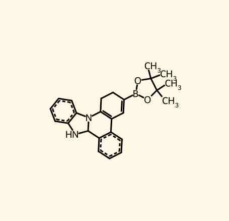 CC1(C)OB(C2=CC3=C(CC2)N2c4ccccc4NC2c2ccccc23)OC1(C)C